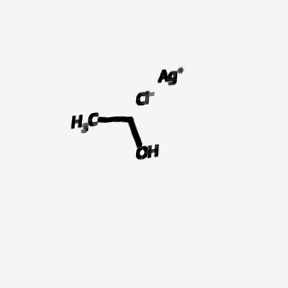 CCO.[Ag+].[Cl-]